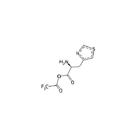 N[C@@H](Cc1cscn1)C(=O)OC(=O)C(F)(F)F